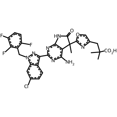 CC(C)(Cc1coc(C2(C)C(=O)Nc3nc(-c4nn(Cc5c(F)ccc(F)c5F)c5cc(Cl)ccc45)nc(N)c32)n1)C(=O)O